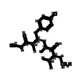 CN(C[C@@H](Cc1ccc(Cl)cc1)N(C)C(=O)OC(C)(C)C)C(=O)[C@@H](CC(=O)O)N(C)C